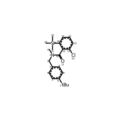 CN(Cc1ccc(C(C)(C)C)cc1)C(=O)c1c(Cl)cccc1[Si](C)(C)C